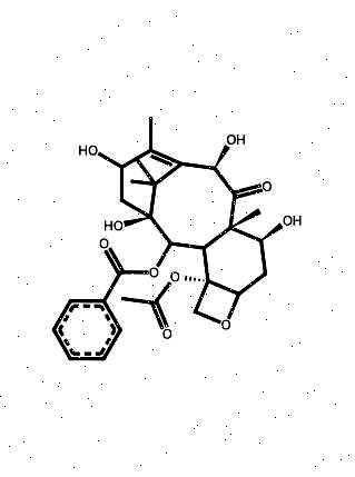 CC(=O)O[C@@]12COC1C[C@H](O)[C@@]1(C)C(=O)[C@H](O)C3=C(C)C(O)C[C@@](O)(C(OC(=O)c4ccccc4)C21)C3(C)C